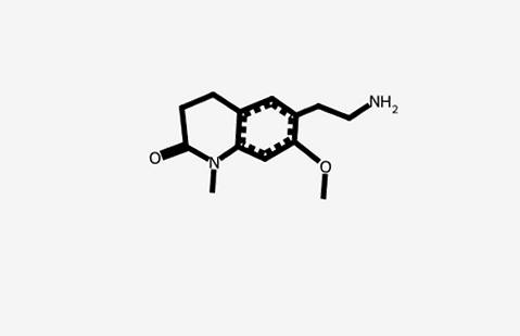 COc1cc2c(cc1CCN)CCC(=O)N2C